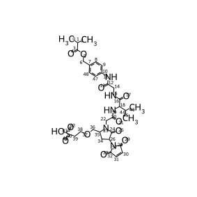 CC(C)C(=O)OCc1ccc(NC(=O)CNC(=O)C(NC(=O)CN2C(=O)C(N3C(=O)C=CC3=O)CC2COCCS(=O)(=O)O)C(C)C)cc1